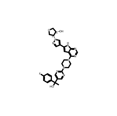 CC(O)(c1ccc(F)cc1)c1cnc(N2CCN(c3ncnc4[nH]c(-c5cnn([C@@H]6COC[C@@H]6O)c5)cc34)CC2)nc1